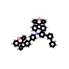 c1ccc(-c2cccc(-c3ccc(N(c4ccc(-c5ccc6c(c5)C5(c7ccccc7Oc7ccccc75)c5ccccc5-6)cc4)c4cccc5c4-c4ccccc4C54c5ccccc5Oc5ccccc54)cc3)c2)cc1